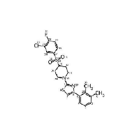 Cc1cccc(-c2csc(N3CCC(S(=O)(=O)c4ccc(F)c(Cl)c4)CC3)n2)c1C